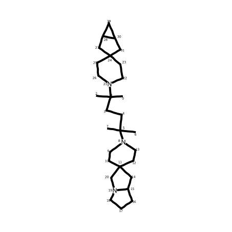 CC(C)(CCC(C)(C)N1CCC2(CC1)CC1CCCN1C2)N1CCC2(CC1)CC1CC1C2